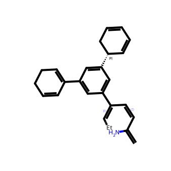 C=C(N)/C=C\C(=C/CC)c1cc(C2=CCCC=C2)cc([C@H]2C=CC=CC2)c1